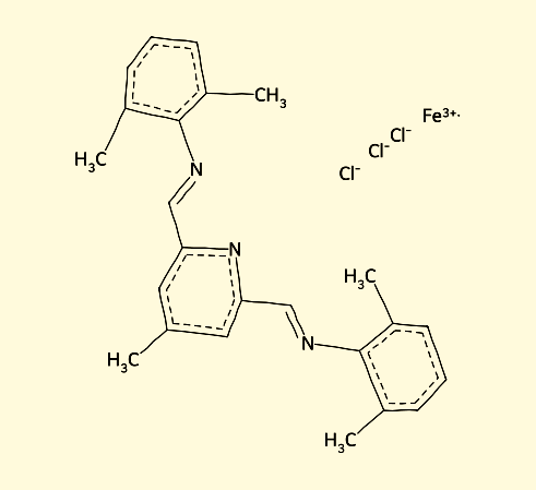 Cc1cc(C=Nc2c(C)cccc2C)nc(C=Nc2c(C)cccc2C)c1.[Cl-].[Cl-].[Cl-].[Fe+3]